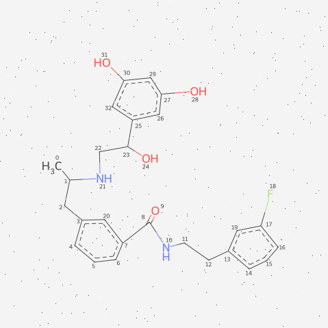 CC(Cc1cccc(C(=O)NCCc2cccc(F)c2)c1)NCC(O)c1cc(O)cc(O)c1